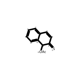 CC(=O)OC1C(=S)C=Cc2ccccc21